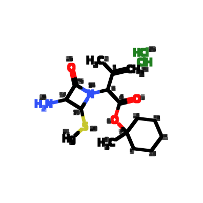 C=C(C)C(C(=O)OC1(C)CCCCC1)N1C(=O)C(N)C1[S][Hg].Cl.Cl